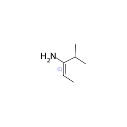 C/C=C(/N)C(C)C